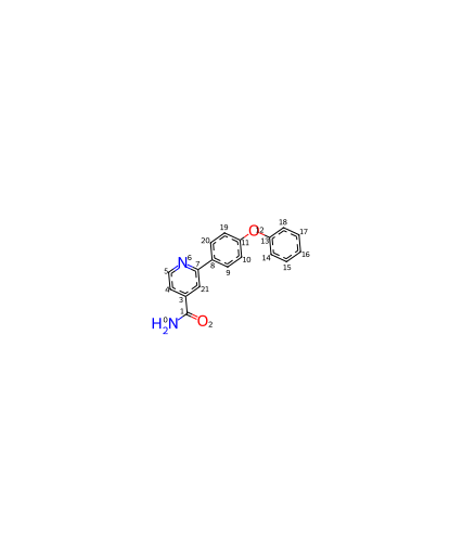 NC(=O)c1ccnc(-c2ccc(Oc3ccccc3)cc2)c1